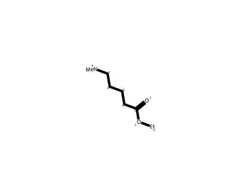 CCOC(=O)CCCCNC